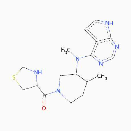 CC1CCN(C(=O)C2CSCN2)CC1N(C)c1ncnc2[nH]ccc12